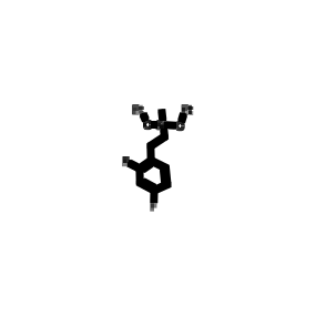 CCO[Si](C)(CCc1ccc(F)cc1F)OCC